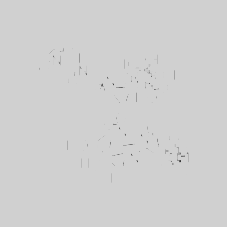 CC[C@@]1(O)C(=O)OCc2c1cc1n(c2=O)Cc2c-1nc1cc(F)c(C)c(-c3ccc(CO)s3)c1c2CNC(=O)OCc1ccc(O[C@@H]2O[C@H](C(=O)O)[C@@H](O)[C@H](O)[C@H]2O)c(NC(=O)CCNC(=O)CCN2C(=O)C=CC2=O)c1